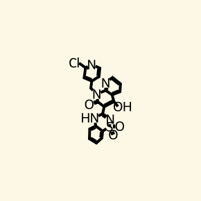 O=c1c(C2=NS(=O)(=O)c3ccccc3N2)c(O)c2cccnc2n1Cc1ccnc(Cl)c1